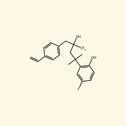 C=Cc1ccc(CC(O)(CC(C)(C)c2cc(F)ccc2O)C(F)(F)F)cc1